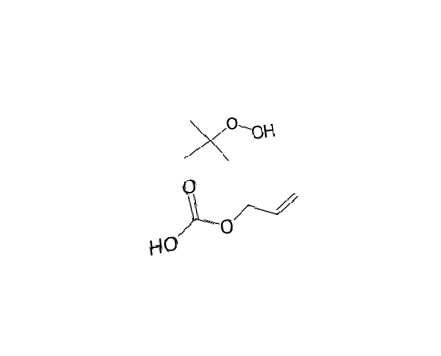 C=CCOC(=O)O.CC(C)(C)OO